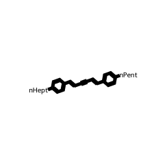 CCCCCCCc1ccc(C=CC#CC=Cc2ccc(CCCCC)cc2)cc1